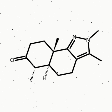 Cc1c2c(nn1C)[C@@]1(C)CCC(=O)[C@@H](C)[C@@H]1CC2